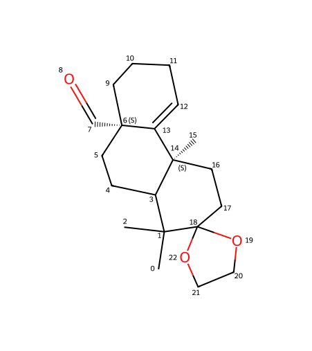 CC1(C)C2CC[C@@]3(C=O)CCCC=C3[C@@]2(C)CCC12OCCO2